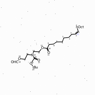 CCCCCCCC/C=C\CCCCCCCC(=O)OCCN(CCOC=O)C(=O)OC(C)(C)C